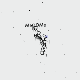 COc1cc(-c2ccc(CN[C@H]3C[C@@H](O)[C@@H](N(C)c4ncnc5sc(CC(F)(F)F)cc45)C3)cc2)nnc1OC.O=C(O)/C=C\C(=O)O